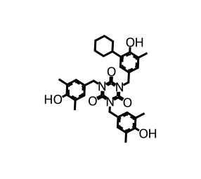 Cc1cc(Cn2c(=O)n(Cc3cc(C)c(O)c(C)c3)c(=O)n(Cc3cc(C)c(O)c(C4CCCCC4)c3)c2=O)cc(C)c1O